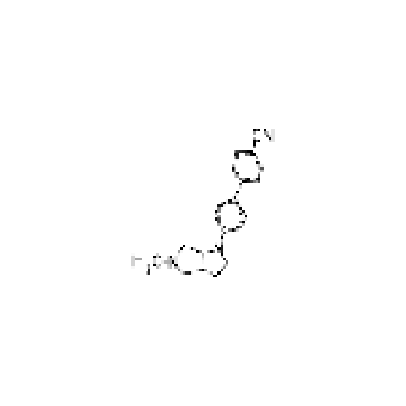 CN1CC2CCN(c3ccc(-c4ccc(C#N)cc4)cc3)C2C1